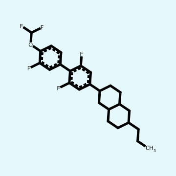 CCCC1CCC2CC(c3cc(F)c(-c4ccc(OC(F)F)c(F)c4)c(F)c3)CCC2C1